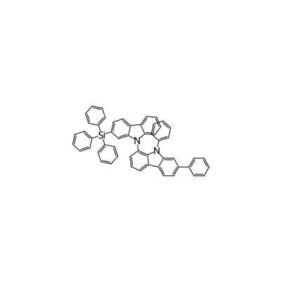 c1ccc(-c2ccc3c4cccc(-n5c6ccccc6c6ccc([Si](c7ccccc7)(c7ccccc7)c7ccccc7)cc65)c4n(-c4ccccc4)c3c2)cc1